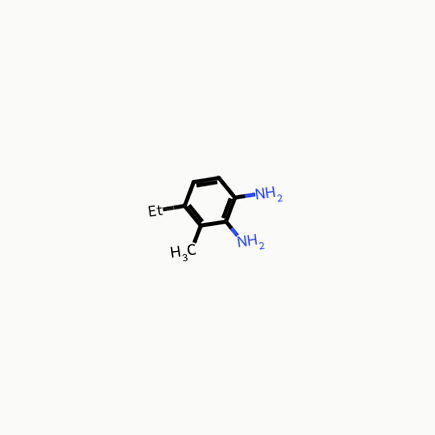 CCc1ccc(N)c(N)c1C